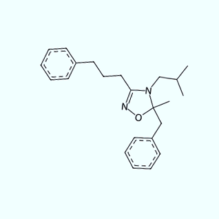 CC(C)CN1C(CCCc2ccccc2)=NOC1(C)Cc1ccccc1